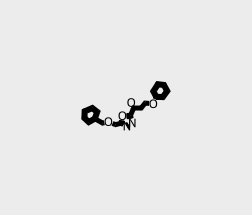 O=C(CCOc1ccccc1)c1nnc(COCc2ccccc2)o1